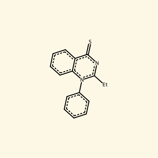 CCc1nc(=S)c2ccccc2n1-c1ccccc1